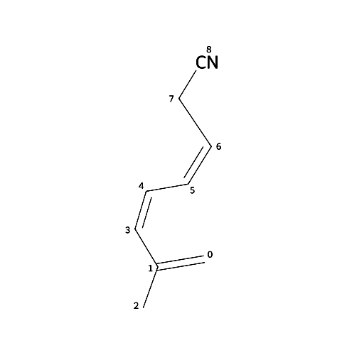 C=C(C)/C=C\C=C/CC#N